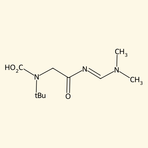 CN(C)C=NC(=O)CN(C(=O)O)C(C)(C)C